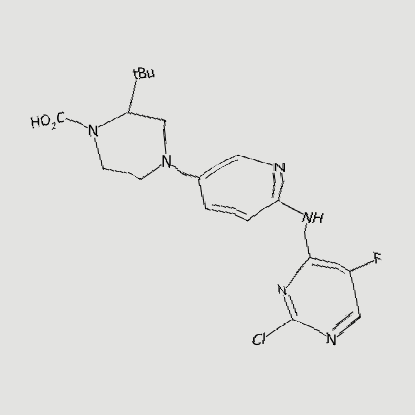 CC(C)(C)C1CN(c2ccc(Nc3nc(Cl)ncc3F)nc2)CCN1C(=O)O